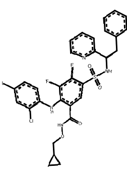 O=C(NOCC1CC1)c1cc(S(=O)(=O)NC(Cc2ccccc2)c2ccccn2)c(F)c(F)c1Nc1ccc(I)cc1Cl